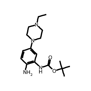 CCN1CCN(c2ccc(N)c(NC(=O)OC(C)(C)C)c2)CC1